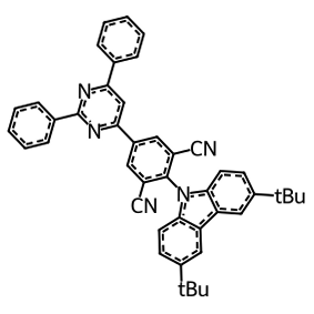 CC(C)(C)c1ccc2c(c1)c1cc(C(C)(C)C)ccc1n2-c1c(C#N)cc(-c2cc(-c3ccccc3)nc(-c3ccccc3)n2)cc1C#N